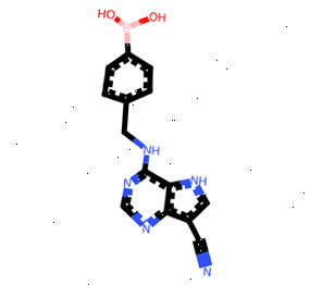 N#Cc1c[nH]c2c(NCc3ccc(B(O)O)cc3)ncnc12